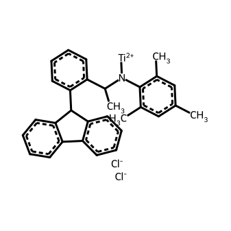 Cc1cc(C)c([N]([Ti+2])C(C)c2ccccc2C2c3ccccc3-c3ccccc32)c(C)c1.[Cl-].[Cl-]